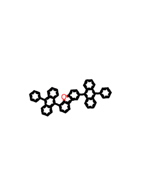 c1ccc(-c2c3ccccc3c(-c3ccc4oc5c(-c6c7ccccc7c(-c7ccccc7)c7ccccc67)cccc5c4c3)c3ccccc23)cc1